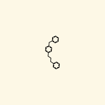 c1ccc(CCCc2ccc(Cc3ccccc3)cc2)cc1